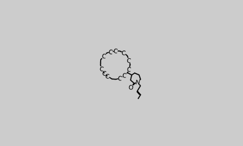 CC=CCN1CCCC(C2CCCCCCCCCCCCCCCCCCC2)CC1=O